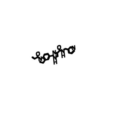 CCC(=O)N1CCc2cc(-c3nc(C(=O)NCc4cccnc4)c[nH]3)ccc21